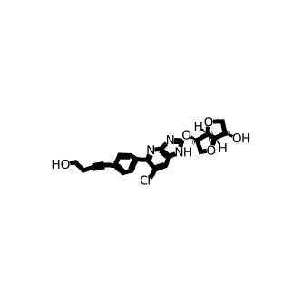 OCCC#Cc1ccc(-c2nc3nc(O[C@@H]4CO[C@H]5[C@@H]4OC[C@H]5O)[nH]c3cc2Cl)cc1